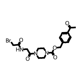 CC(=O)c1ccc(COC(=O)N2CCN(C(=O)CNC(=O)CBr)CC2)cc1